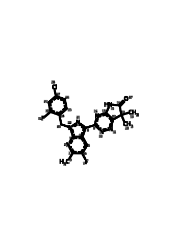 Cc1nc2c(cc1F)c(-c1nnc3c(n1)NC(=O)C3(C)C)nn2Cc1ccc(Cl)cc1F